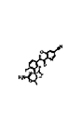 CC1OC(N)=N[C@](c2cc(NC(=O)c3ncc(C#N)cc3Cl)ccc2F)(C(F)F)[C@@H]1C